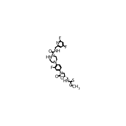 COC(=S)NC[C@H]1CN(c2ccc(N3CCNN(C(=O)NCc4cc(F)cc(F)n4)CC3)c(F)c2)C(=O)O1